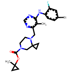 CCc1ccc(Nc2ncnc(CN3CCN(C(=O)OC4(C)CC4)CC34CC4)c2C)c(F)c1